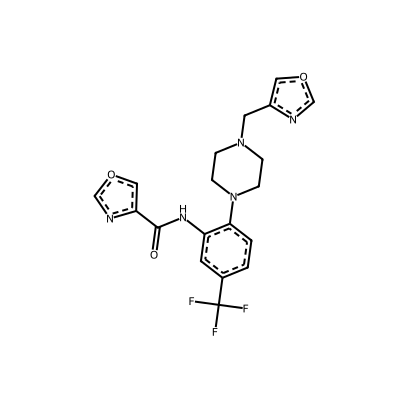 O=C(Nc1cc(C(F)(F)F)ccc1N1CCN(Cc2cocn2)CC1)c1cocn1